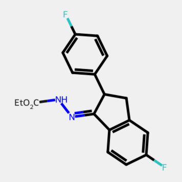 CCOC(=O)NN=C1c2ccc(F)cc2CC1c1ccc(F)cc1